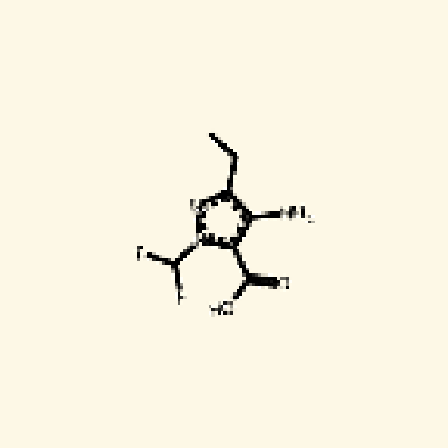 CCc1nn(C(F)F)c(C(=O)O)c1N